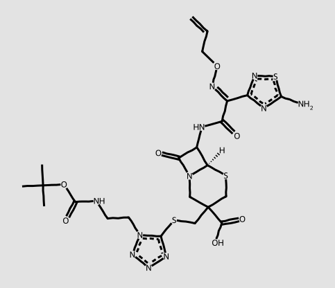 C=CCON=C(C(=O)NC1C(=O)N2CC(CSc3nnnn3CCNC(=O)OC(C)(C)C)(C(=O)O)CS[C@H]12)c1nsc(N)n1